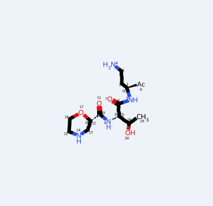 CC(=O)[C@H](CCN)NC(=O)[C@@H](NC(=O)[C@@H]1CNCCO1)C(C)O